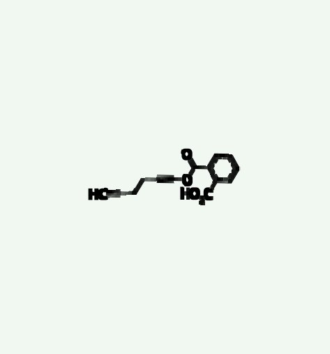 C#CCCC#COC(=O)c1ccccc1C(=O)O